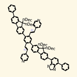 CCCCCCCCCCC1(CCCCCCCCCC)c2cc(-c3ccccc3)ccc2-c2ccc(-c3cc(/C=C/c4ccncc4)c(-c4ccc5c(c4)C(CCCCCCCCCC)(CCCCCCCCCC)c4cc(-c6ccc(-c7ccccc7)c7c6=NCN=7)ccc4-5)cc3/C=C/c3ccncc3)cc21